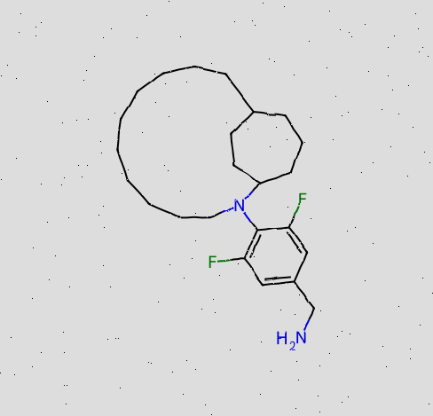 NCc1cc(F)c(N2CCCCCCCCCCC3CCCC2CC3)c(F)c1